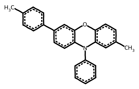 Cc1ccc(-c2ccc3c(c2)Oc2ccc(C)cc2N3c2ccccc2)cc1